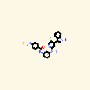 Nc1ccc(C(=O)N[C@@H]2CCC[C@@H](Nc3cc(-c4c[nH]c5ccccc45)c(Cl)cn3)C2)cc1